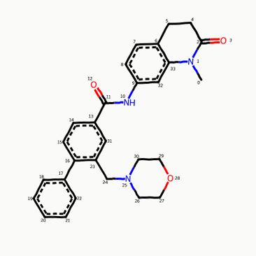 CN1C(=O)CCc2ccc(NC(=O)c3ccc(-c4ccccc4)c(CN4CCOCC4)c3)cc21